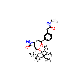 CNC(=O)Cc1cccc(C(=O)C[C@H]2NC(=O)[C@@H]2[C@@H](C)O[Si](C)(C)C(C)(C)C)c1